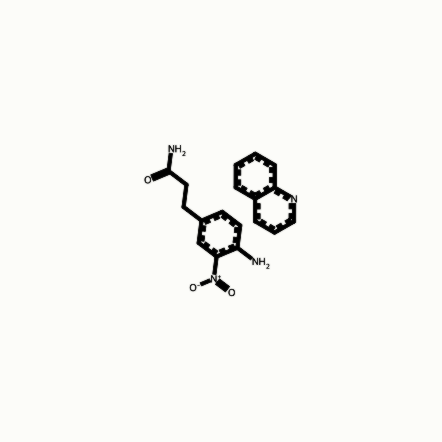 NC(=O)CCc1ccc(N)c([N+](=O)[O-])c1.c1ccc2ncccc2c1